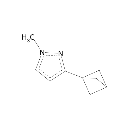 Cn1ccc(C23CC(C2)C3)n1